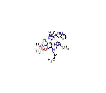 CC1CC1CN(Cc1nccn1C)c1cc(-c2nnc([C@](C)(N)Cc3ccccc3)o2)c(Cl)c(N(C)S(C)(=O)=O)n1